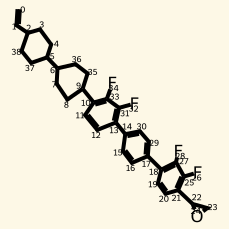 C=CC1CCC(C2CCC(c3ccc(-c4ccc(-c5ccc(C6CO6)c(F)c5F)cc4)c(F)c3F)CC2)CC1